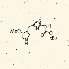 CO[C@@H]1CNC[C@H]1Cc1csc(NC(=O)OC(C)(C)C)n1